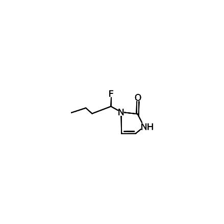 CCCC(F)n1cc[nH]c1=O